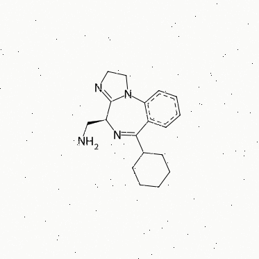 NC[C@@H]1N=C(C2CCCCC2)c2ccccc2N2CCN=C12